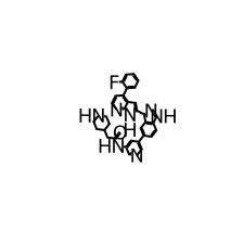 O=C(CC1CCNCC1)Nc1cncc(-c2ccc3[nH]nc(-c4cc5c(-c6ccccc6F)ccnc5[nH]4)c3c2)c1